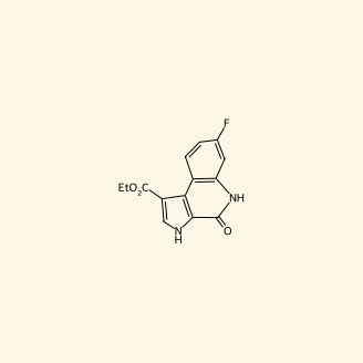 CCOC(=O)c1c[nH]c2c(=O)[nH]c3cc(F)ccc3c12